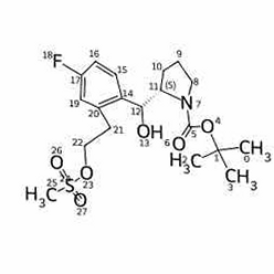 CC(C)(C)OC(=O)N1CCC[C@H]1C(O)c1ccc(F)cc1CCOS(C)(=O)=O